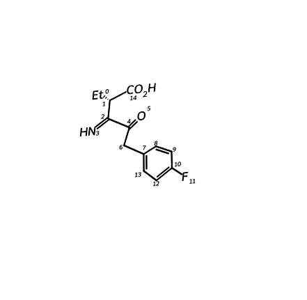 CC[C@@H](C(=N)C(=O)Cc1ccc(F)cc1)C(=O)O